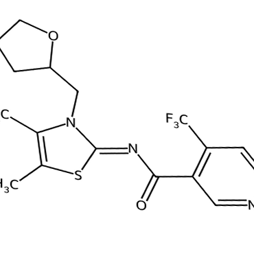 Cc1sc(=NC(=O)c2cnccc2C(F)(F)F)n(CC2CCCO2)c1C